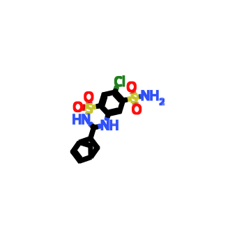 NS(=O)(=O)c1cc2c(cc1Cl)S(=O)(=O)NC(C1CC3C=CC1C3)N2